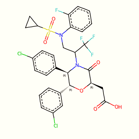 O=C(O)C[C@H]1O[C@H](c2cccc(Cl)c2)[C@@H](c2ccc(Cl)cc2)N(C(CN(c2ccccc2F)S(=O)(=O)C2CC2)C(F)(F)F)C1=O